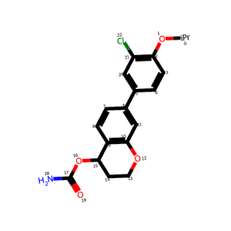 CC(C)Oc1ccc(-c2ccc3c(c2)OCCC3OC(N)=O)cc1Cl